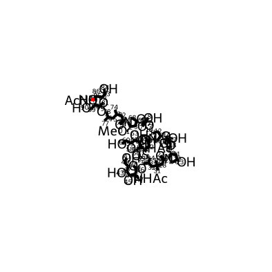 COC[C@@H]1C[C@@H](OP(=O)(O)OC[C@@H]2C[C@@H](OP(=O)(O)OC[C@@H]3C[C@@H](O)CN3C(=O)CC(C)(C)CC(C)COC3OC(CO)C(O)C(O)C3NC(C)=O)CN2C(=O)CCSCOC2OC(CO)C(O)C(O)C2NC(C)=O)CN1C(=O)CC(C)CC(C)COC(OC(CO)[C@@H](C)O)[C@H](CO)NC(C)=O